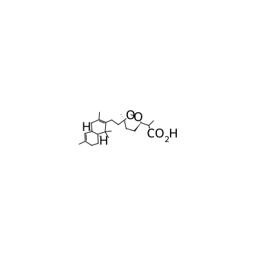 CC1=C[C@H]2CC(C)=C(CC[C@]3(C)CC[C@H]([C@@H](C)C(=O)O)OO3)C(C)(C)[C@H]2CC1